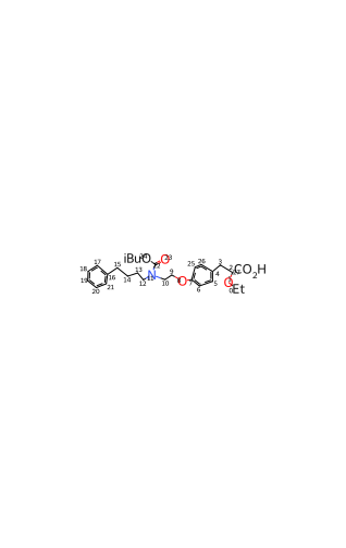 CCOC(Cc1ccc(OCCN(CCCCc2ccccc2)C(=O)OCC(C)C)cc1)C(=O)O